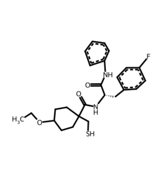 CCOC1CCC(CS)(C(=O)N[C@@H](Cc2ccc(F)cc2)C(=O)Nc2ccccc2)CC1